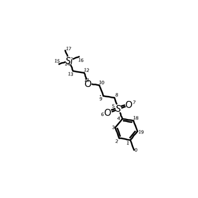 Cc1ccc(S(=O)(=O)C[CH]COCC[Si](C)(C)C)cc1